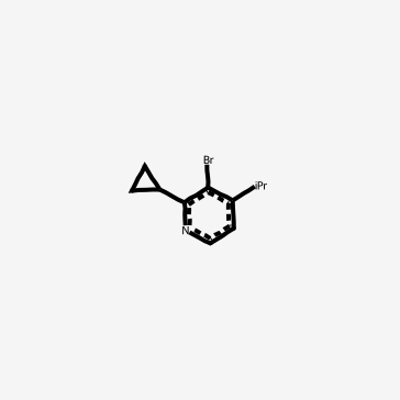 CC(C)c1ccnc(C2CC2)c1Br